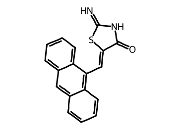 N=C1NC(=O)/C(=C/c2c3ccccc3cc3ccccc23)S1